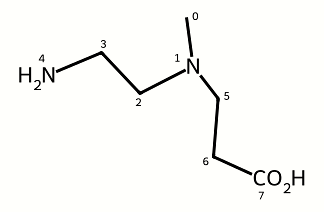 CN(CCN)CCC(=O)O